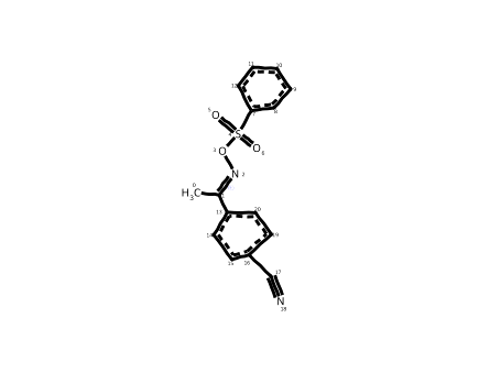 C/C(=N\OS(=O)(=O)c1ccccc1)c1ccc(C#N)cc1